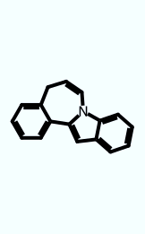 C1=Cn2c(cc3ccccc32)-c2ccccc2C1